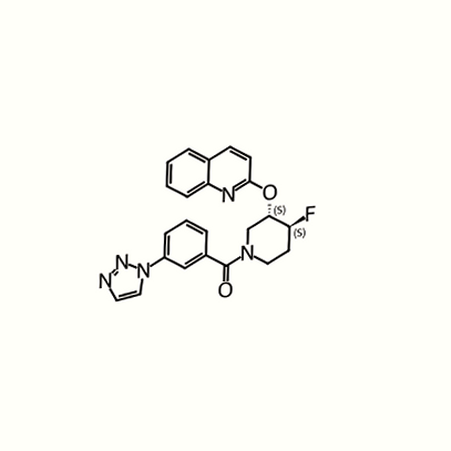 O=C(c1cccc(-n2ccnn2)c1)N1CC[C@H](F)[C@@H](Oc2ccc3ccccc3n2)C1